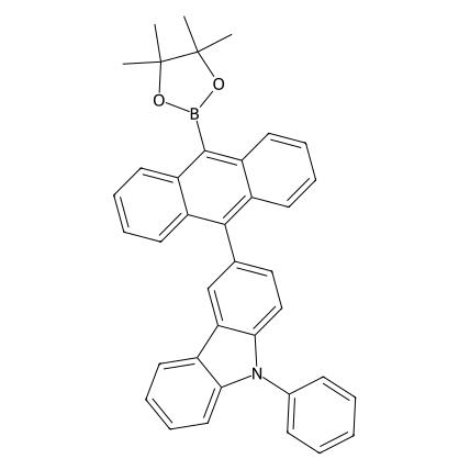 CC1(C)OB(c2c3ccccc3c(-c3ccc4c(c3)c3ccccc3n4-c3ccccc3)c3ccccc23)OC1(C)C